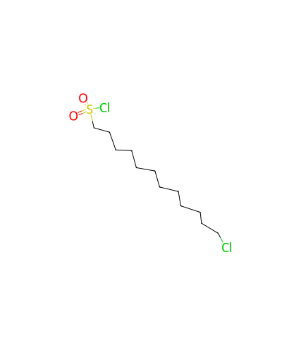 O=S(=O)(Cl)CCCCCCCCCCCCCl